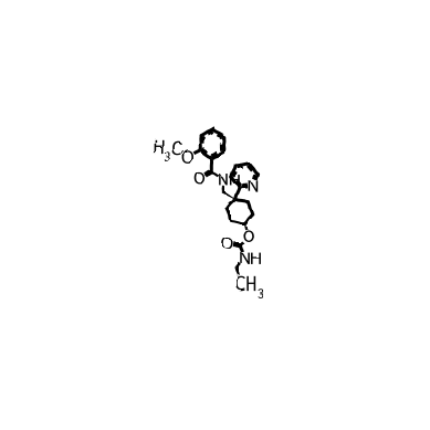 CCNC(=O)O[C@H]1CC[C@](CNC(=O)c2ccccc2OC)(c2ccccn2)CC1